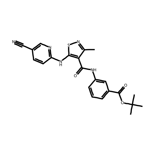 Cc1nsc(Nc2ccc(C#N)cn2)c1C(=O)Nc1cccc(C(=O)OC(C)(C)C)c1